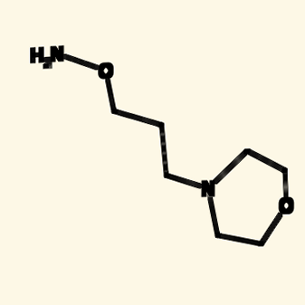 NOCCCN1CCOCC1